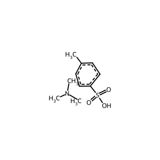 CN(C)C.Cc1ccc(S(=O)(=O)O)cc1